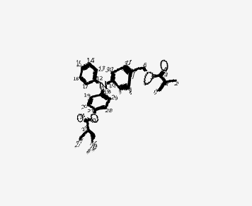 C=C(C)C(=O)OCc1ccc(N(c2ccccc2)c2ccc(OC(=O)C(=C)C)cc2)cc1